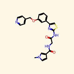 Cn1ccc(C(=O)NCC(=O)Nc2nc(-c3cccc(OCc4ccncc4)c3)cs2)c1